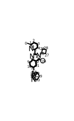 Cc1cccc(-c2nc3ccc(N4CCN5CCC4CC5)cc3c(=O)n2C2CCC2)n1